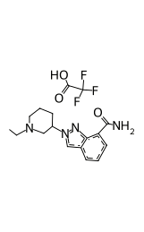 CCN1CCCC(n2cc3cccc(C(N)=O)c3n2)C1.O=C(O)C(F)(F)F